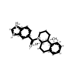 C[C@@]12CCCN(C(=O)c3ccc4[nH]cnc4c3)[C@@H]1CCc1ccccc12